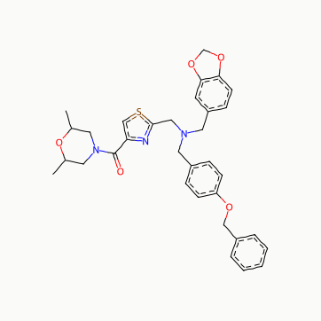 CC1CN(C(=O)c2csc(CN(Cc3ccc(OCc4ccccc4)cc3)Cc3ccc4c(c3)OCO4)n2)CC(C)O1